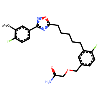 COc1cc(-c2noc(CCCCCc3cc(COCC(N)=O)ccc3F)n2)ccc1F